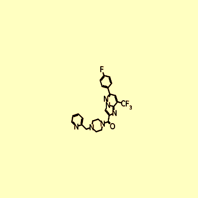 O=C(c1cn2nc(-c3ccc(F)cc3)cc(C(F)(F)F)c2n1)N1CCN(Cc2ccccn2)CC1